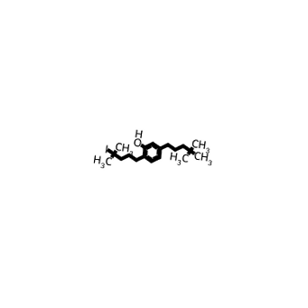 CC(C)(C)CCCc1ccc(CCCC(C)(C)I)c(O)c1